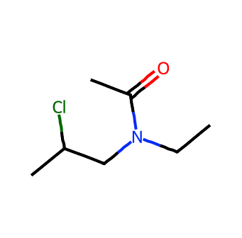 CCN(CC(C)Cl)C(C)=O